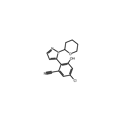 N#Cc1cc(Cl)cc(O)c1-c1ccnn1C1CCCCO1